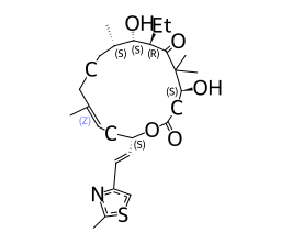 CC[C@H]1C(=O)C(C)(C)[C@@H](O)CC(=O)O[C@H](C=Cc2csc(C)n2)C/C=C(/C)CCC[C@H](C)[C@@H]1O